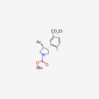 CCOC(=O)c1ccc(C)c([C@@H]2CN(C(=O)OC(C)(C)C)C[C@H]2C(C)=O)c1